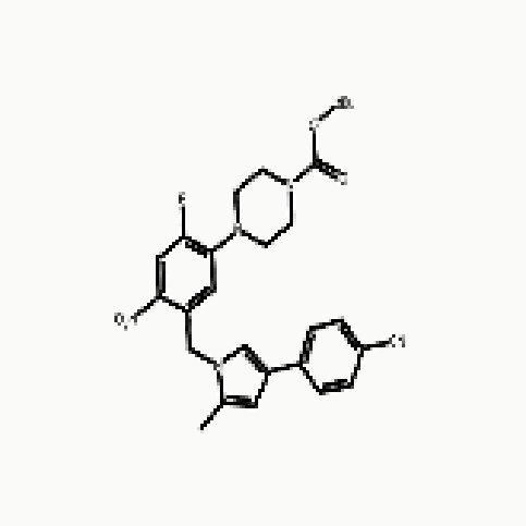 Cc1cc(-c2ccc(C#N)cc2)cn1Cc1cc(N2CCN(C(=O)OC(C)(C)C)CC2)c(F)cc1[N+](=O)[O-]